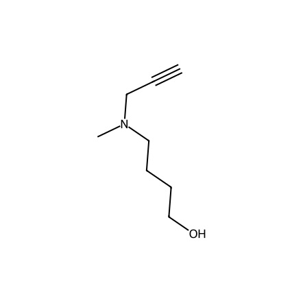 C#CCN(C)CCCCO